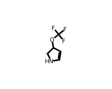 FC(F)(F)OC1[CH]NC=C1